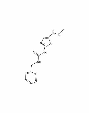 CONc1cnc(NC(=S)NCc2ccccc2)s1